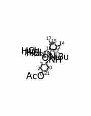 CC(=O)Oc1ccc(C(=O)NN(C(=O)c2cc(C)cc(C)c2)C(C)(C)C)cc1.Cl.Cl.Cl